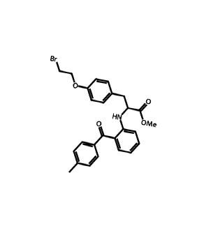 COC(=O)C(Cc1ccc(OCCBr)cc1)Nc1ccccc1C(=O)c1ccc(C)cc1